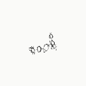 Cn1c(N2CCOC(c3ccc(-c4ncon4)cc3)CC2)nc(-c2ccncn2)cc1=O